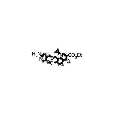 CCOC(=O)c1cn(C2CC2)c2c(COCc3nc(N)ncc3Br)c(Cl)ccc2c1=O